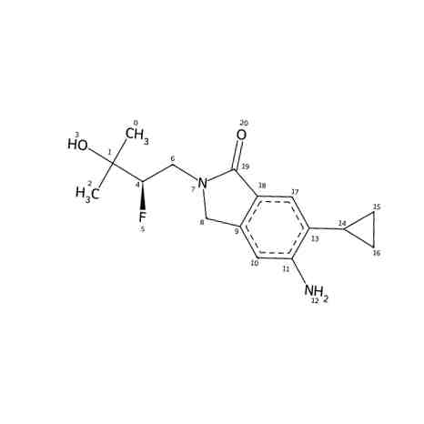 CC(C)(O)[C@H](F)CN1Cc2cc(N)c(C3CC3)cc2C1=O